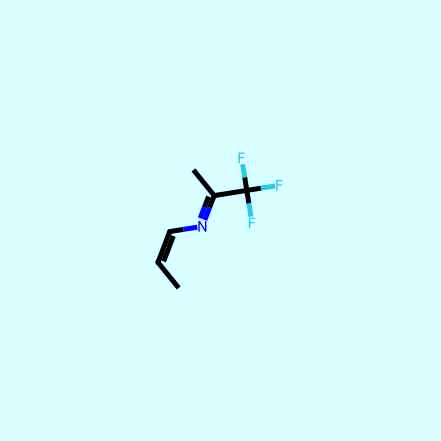 C/C=C\N=C(/C)C(F)(F)F